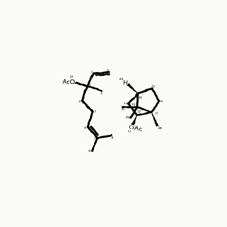 C=CC(C)(CCC=C(C)C)OC(C)=O.CC(=O)O[C@H]1C[C@@H]2CC[C@@]1(C)C2(C)C